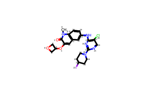 Cn1c(=O)c(OC2COC2)cc2cc(Nc3nc(N4CCC(I)CC4)ncc3Cl)ccc21